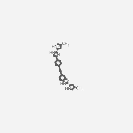 C[C@@H]1CN[C@H](c2nc(-c3ccc(C#Cc4ccc5[nH]c([C@@H]6C[C@H](C)CN6)nc5c4)cc3)c[nH]2)C1